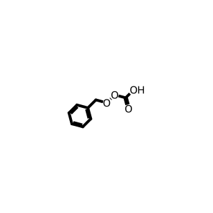 O=C(O)OOCc1ccccc1